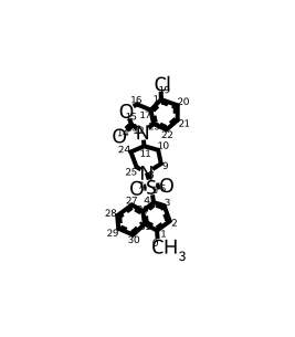 Cc1ccc(S(=O)(=O)N2CCC(N3C(=O)OCc4c(Cl)cccc43)CC2)c2ccccc12